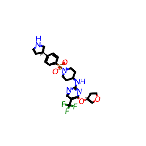 O=S(=O)(c1ccc([C@H]2CCNC2)cc1)N1CCC(Nc2ncc(C(F)(F)F)c(O[C@H]3CCOC3)n2)CC1